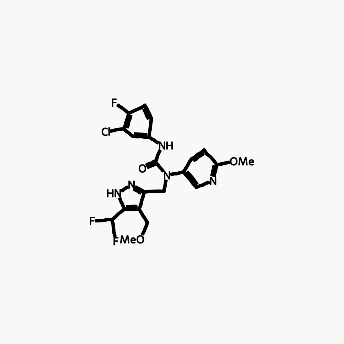 COCc1c(CN(C(=O)Nc2ccc(F)c(Cl)c2)c2ccc(OC)nc2)n[nH]c1C(F)F